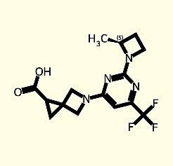 C[C@H]1CCN1c1nc(N2CC3(CC3C(=O)O)C2)cc(C(F)(F)F)n1